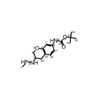 CPNC1COc2cc(NC(=O)OC(C)(C)C)ccc2C1